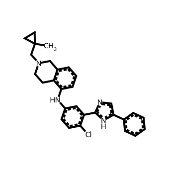 CC1(CN2CCc3c(cccc3Nc3ccc(Cl)c(-c4ncc(-c5ccccc5)[nH]4)c3)C2)CC1